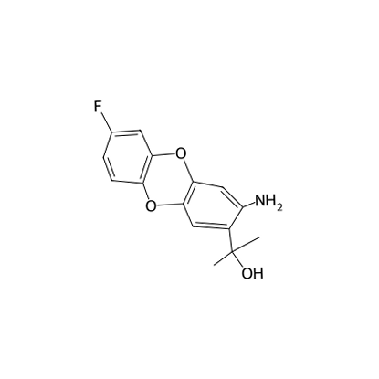 CC(C)(O)c1cc2c(cc1N)Oc1cc(F)ccc1O2